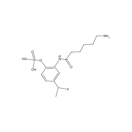 CC(F)c1ccc(OP(=O)(O)O)c(NC(=O)CCCCCN)c1